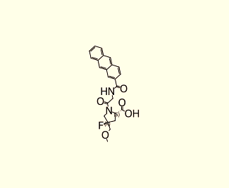 COC[C@@]1(F)C[C@@H](C(=O)O)N(C(=O)CNC(=O)c2ccc3cc4ccccc4cc3c2)C1